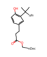 CCCCCCCCCCCOC(=O)CCc1ccc(O)c(C(C)(C)CCC)c1